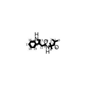 CC(C)C(=O)C(C)(C)NC(=O)Cc1c[nH]c2ccccc12